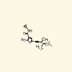 CS(C)(C)C#Cc1cc(C(=O)NC2CC2)c(C#N)s1